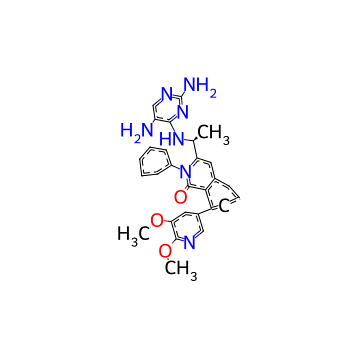 COc1cc(-c2cccc3cc([C@H](C)Nc4nc(N)ncc4N)n(-c4ccccc4)c(=O)c23)cnc1OC